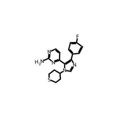 Nc1nccc(-c2c(-c3ccc(F)cc3)ncn2C2CCSCC2)n1